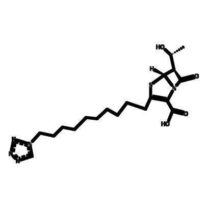 C[C@@H](O)[C@H]1C(=O)N2C(C(=O)O)=C(CCCCCCCCCCn3cnnn3)S[C@H]12